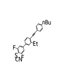 CCCCc1ccc(C#Cc2ccc(-c3cc(F)c(SC#N)c(F)c3)cc2CC)cc1